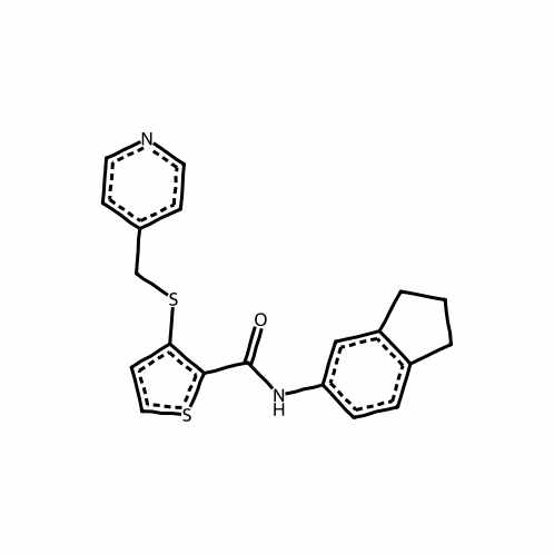 O=C(Nc1ccc2c(c1)CCC2)c1sccc1SCc1ccncc1